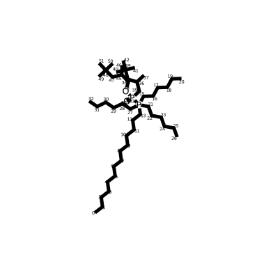 CCCCCCCCCCCCCCP(CCCCCC)(CCCCCC)(CCCCCC)P(=O)(CC(C)CC(C)(C)C)OCC(C)CC(C)(C)C